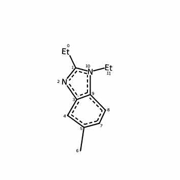 CCc1nc2cc(C)ccc2n1CC